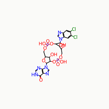 O=c1[nH]cnc2c1ncn2C1OC2COP(=O)(O)OC3C(O)C(COP(=O)(O)OC1C2O)OC3n1cnc2cc(Cl)c(Cl)cc21